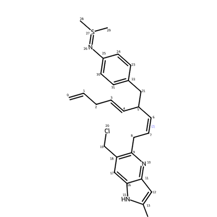 C=CCC=CC(/C=C\Cc1nc2cc(O)[nH]c2cc1CCl)Cc1ccc(N=S(C)C)cc1